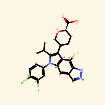 CC(C)c1c(C2CC[C@H](C(=O)O)OC2)c2c(F)c3[nH]ncc3cc2n1-c1ccc(F)c(F)c1